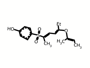 C/C=C(\C)O/C(=C/C=C(\C)S(=O)(=O)c1ccc(O)cc1)CC